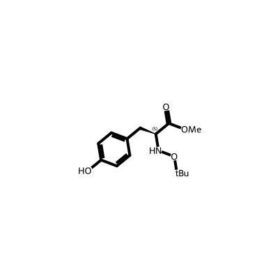 COC(=O)[C@H](Cc1ccc(O)cc1)NOC(C)(C)C